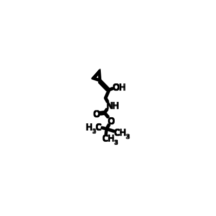 CC(C)(C)OC(=O)NCC(O)=C1CC1